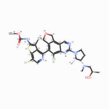 C[C@@H](O)CN(C)[C@H]1CCN(c2ncc3c4c(c(-c5ncc(F)c6sc(NC(=O)OC(C)(C)C)c(C#N)c56)c(Cl)c3n2)COC4)[C@H]1C